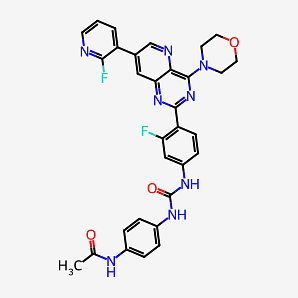 CC(=O)Nc1ccc(NC(=O)Nc2ccc(-c3nc(N4CCOCC4)c4ncc(-c5cccnc5F)cc4n3)c(F)c2)cc1